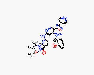 COCn1c(=O)c2ccc(Nc3cc(N[C@H](CO)c4ccccc4)c(-c4nc(-c5ccncc5)no4)cn3)nc2n1C(C)C